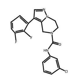 O=C(Nc1cccc(Cl)c1)N1CCn2ncc(-c3cccc(F)c3F)c2C1